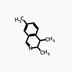 Cc1ccc2c(c1)C=NC(C)C2C